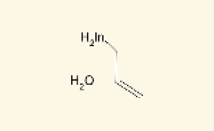 C=C[CH2][InH2].O